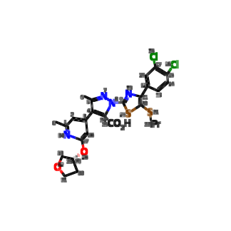 Cc1cc(-c2c(C)nn(-c3nc(-c4ccc(Cl)c(Cl)c4)c(SC(C)C)s3)c2C(=O)O)cc(O[C@@H]2CCOC2)n1